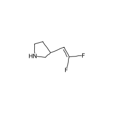 FC(F)=CC1CCNC1